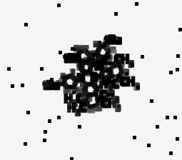 CC(C)(C)c1ccc(N2c3cc4c(cc3B3c5oc6c(c5N(c5ccc(C(C)(C)C)cc5-c5ccccc5)c5cc(C(C)(C)C)cc2c53)C(C)(C)CCC6(C)C)C(C)(C)CCC4(C)C)cc1